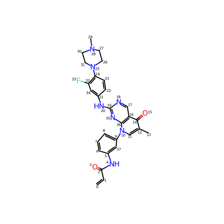 C=CC(=O)Nc1cccc(-n2cc(C)c(=O)c3cnc(Nc4ccc(N5CCN(C)CC5)c(F)c4)nc32)c1